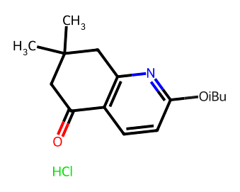 CC(C)COc1ccc2c(n1)CC(C)(C)CC2=O.Cl